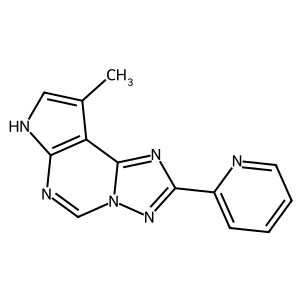 Cc1c[nH]c2ncn3nc(-c4ccccn4)nc3c12